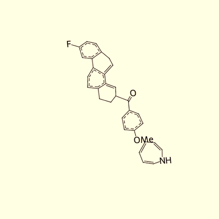 C1=CC=CNC=C1.COc1ccc(C(=O)C2C=c3c(ccc4c3=CCc3ccc(F)cc3-4)CC2)cc1